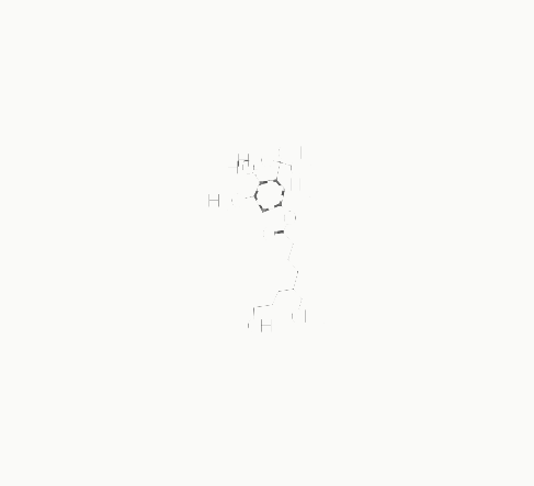 CCCCC(CC)CCCC(=O)Oc1cc(C)c(O)c(C(C)(C)C)c1